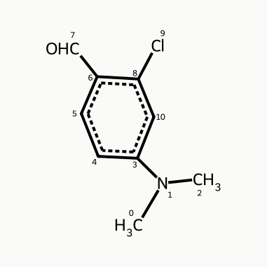 CN(C)c1ccc(C=O)c(Cl)c1